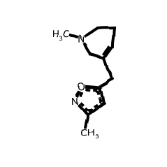 Cc1cc(CC2=CCCN(C)C2)on1